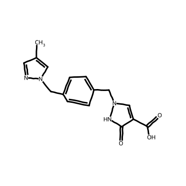 Cc1cnn(Cc2ccc(Cn3cc(C(=O)O)c(=O)[nH]3)cc2)c1